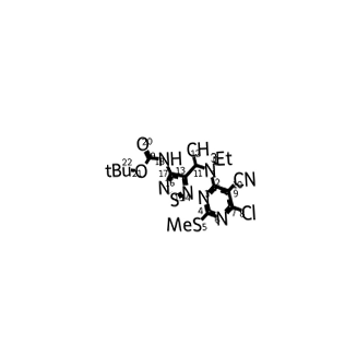 CCN(c1nc(SC)nc(Cl)c1C#N)C(C)c1nsnc1NC(=O)OC(C)(C)C